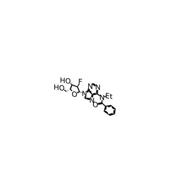 CCN(C(=O)c1ccccc1)c1ncnc2c1ncn2[C@@H]1O[C@H](CO)[C@@H](O)[C@H]1F